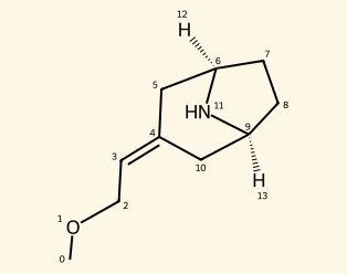 COC/C=C1/C[C@H]2CC[C@@H](C1)N2